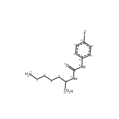 NCCCCC(NC(=O)Nc1ccc(F)cc1)C(=O)O